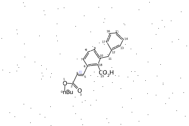 CCCCOC(=O)/C=C/c1cccc(Cc2ccccc2)c1C(=O)O